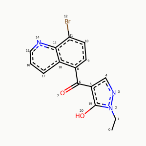 CCn1ncc(C(=O)c2ccc(Br)c3ncccc23)c1O